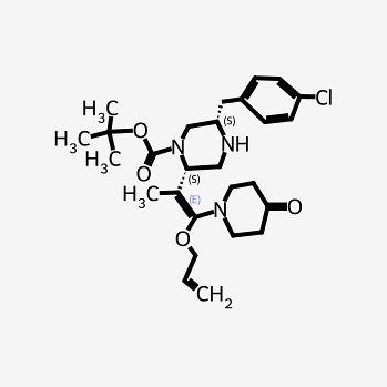 C=CCO/C(=C(\C)[C@H]1CN[C@@H](Cc2ccc(Cl)cc2)CN1C(=O)OC(C)(C)C)N1CCC(=O)CC1